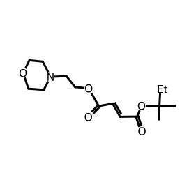 CCC(C)(C)OC(=O)C=CC(=O)OCCN1CCOCC1